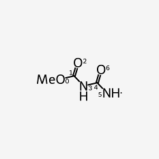 COC(=O)NC([NH])=O